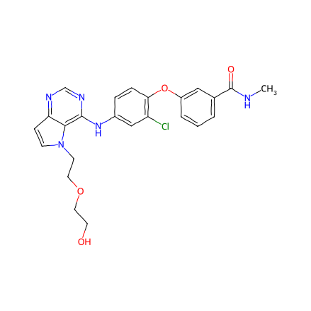 CNC(=O)c1cccc(Oc2ccc(Nc3ncnc4ccn(CCOCCO)c34)cc2Cl)c1